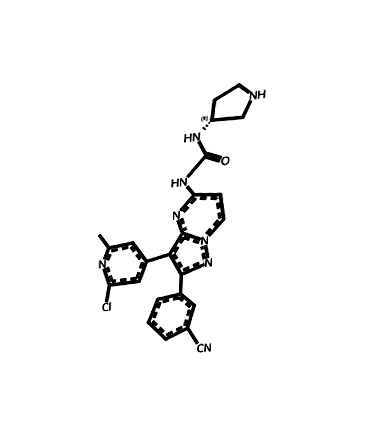 Cc1cc(-c2c(-c3cccc(C#N)c3)nn3ccc(NC(=O)N[C@@H]4CCNC4)nc23)cc(Cl)n1